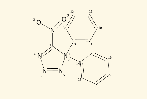 O=[N+]([O-])C1=NN=N[N+]1(c1ccccc1)c1ccccc1